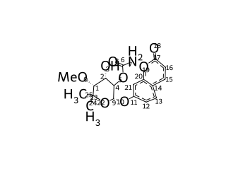 CO[C@@H]1[C@H](O)C(OC(N)=O)[C@H](Oc2ccc3ccc(=O)oc3c2)OC1(C)C